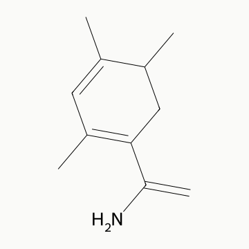 C=C(N)C1=C(C)C=C(C)C(C)C1